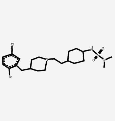 CN(C)S(=O)(=O)NC1CCC(CCN2CCC(Cc3cc(Cl)ccc3Br)CC2)CC1